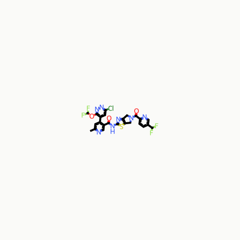 Cc1cc(-c2cc(Cl)nnc2OC(F)F)c(C(=O)Nc2nc3c(s2)CN(C(=O)c2ccc(C(F)F)cn2)C3)cn1